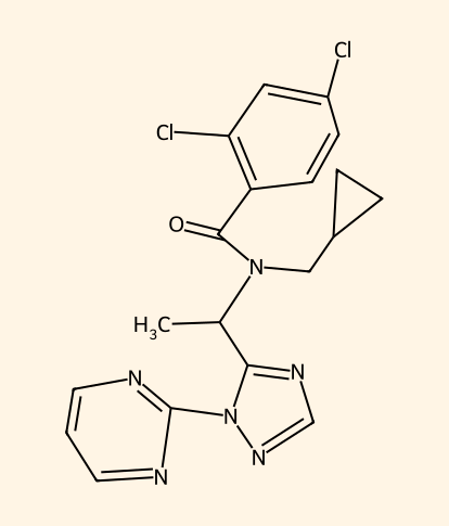 CC(c1ncnn1-c1ncccn1)N(CC1CC1)C(=O)c1ccc(Cl)cc1Cl